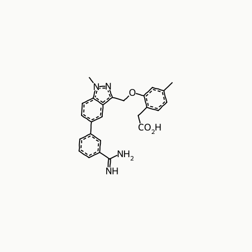 Cc1ccc(CC(=O)O)c(OCc2nn(C)c3ccc(-c4cccc(C(=N)N)c4)cc23)c1